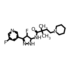 CC(C)(CCN1CCCCC1)C(=O)NC1NN=C(c2cncc(F)c2)C1F